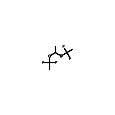 CC(OC(C)(F)F)OC(C)(F)F